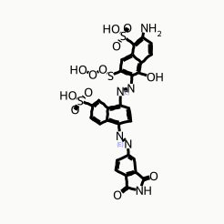 Nc1ccc2c(O)c(/N=N/c3ccc(/N=N/c4ccc5c(c4)C(=O)NC5=O)c4ccc(S(=O)(=O)O)cc34)c(SOOO)cc2c1S(=O)(=O)O